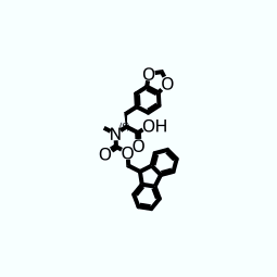 CN(C(=O)OCC1c2ccccc2-c2ccccc21)[C@@H](Cc1ccc2c(c1)OCO2)C(=O)O